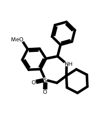 COc1ccc2c(c1)C(c1ccccc1)NC1(CCCCC1)CS2(=O)=O